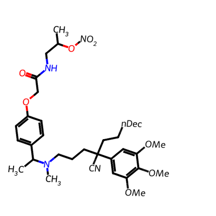 CCCCCCCCCCCCC(C#N)(CCCN(C)C(C)c1ccc(OCC(=O)NCC(C)O[N+](=O)[O-])cc1)c1cc(OC)c(OC)c(OC)c1